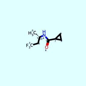 C[C@@H](CC(F)(F)F)NC(=O)C1CC1